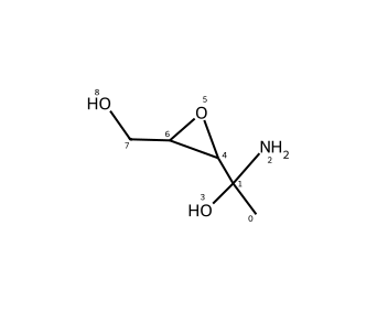 CC(N)(O)C1OC1CO